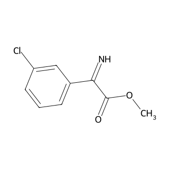 COC(=O)C(=N)c1cccc(Cl)c1